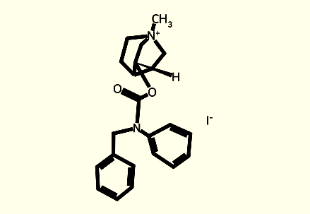 C[N+]12CCC(CC1)[C@@H](OC(=O)N(Cc1ccccc1)c1ccccc1)C2.[I-]